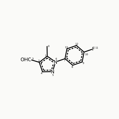 Cc1c(C=O)cnn1-c1ccc(F)cc1